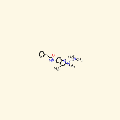 Cc1cc(N(C)CCN(C)C)nc2ccc(NC(=O)CCc3ccccc3)cc12